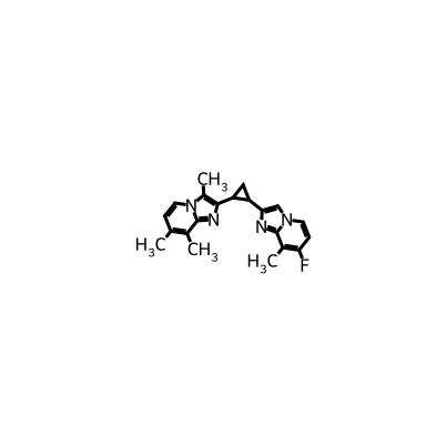 Cc1ccn2c(C)c(C3CC3c3cn4ccc(F)c(C)c4n3)nc2c1C